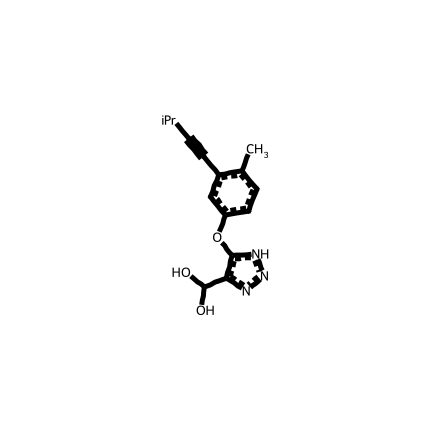 Cc1ccc(Oc2[nH]nnc2C(O)O)cc1C#CC(C)C